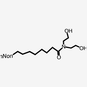 CCCCCCCCCCCCCCCCC(=O)N(CCO)CCO